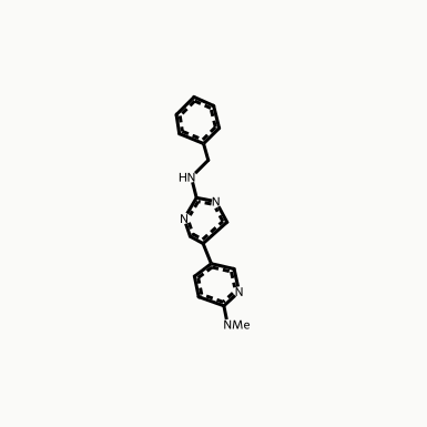 CNc1ccc(-c2cnc(NCc3ccccc3)nc2)cn1